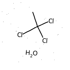 CC(Cl)(Cl)Cl.O